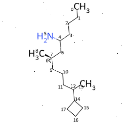 CCCCC(N)C[C@H](C)CCCC(C)C1CCC1